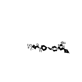 CC(C)(C)c1nc(C2CCC2)cc(N2CCN(CC[C@H]3CC[C@H](NC(=O)C4CC(O)(C(F)(F)F)C4)CC3)CC2)n1